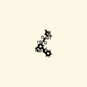 Cc1cc(NC(=O)C(=O)Nc2cc(-c3cc4ccccc4s3)c3[nH]ncc3c2)n(C)n1